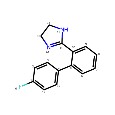 Fc1ccc(-c2ccccc2C2=NCCN2)cc1